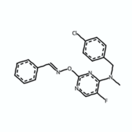 CN(Cc1ccc(Cl)cc1)c1nc(ON=Cc2ccccc2)ncc1F